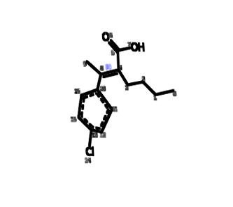 CCCC/C(C(=O)O)=C(/C)c1ccc(Cl)cc1